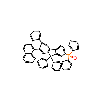 O=P(c1ccccc1)(c1ccccc1)c1ccc2c(c1)C(c1ccccc1)(c1ccccc1)c1cc3c(cc1-2)c1ccccc1c1ccc2ccccc2c13